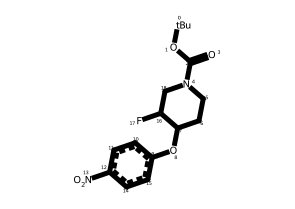 CC(C)(C)OC(=O)N1CCC(Oc2ccc([N+](=O)[O-])cc2)C(F)C1